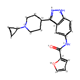 O=C(Nc1ccc2[nH]nc(C3CCN(C4CC4)CC3)c2c1)c1ccco1